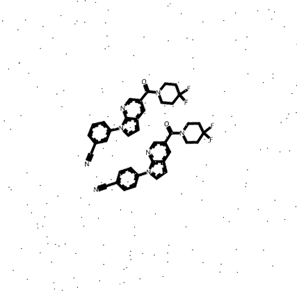 N#Cc1ccc(-n2ccc3cc(C(=O)N4CCC(F)(F)CC4)cnc32)cc1.N#Cc1cccc(-n2ccc3cc(C(=O)N4CCC(F)(F)CC4)cnc32)c1